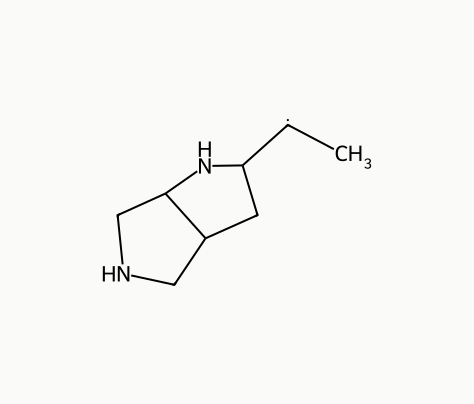 C[CH]C1CC2CNCC2N1